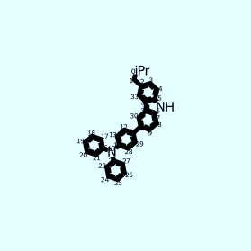 CC(C)Cc1ccc2[nH]c3ccc(-c4ccc(N(c5ccccc5)c5ccccc5)cc4)cc3c2c1